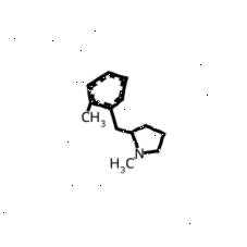 Cc1ccccc1CC1CCCN1C